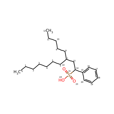 CCCCCCCC(CCCCC)CC(c1ccccc1)S(=O)(=O)O